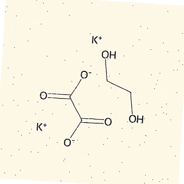 O=C([O-])C(=O)[O-].OCCO.[K+].[K+]